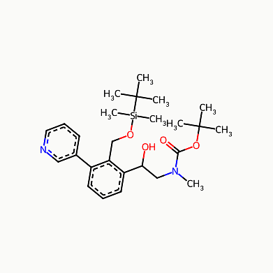 CN(CC(O)c1cccc(-c2cccnc2)c1CO[Si](C)(C)C(C)(C)C)C(=O)OC(C)(C)C